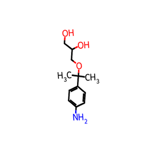 CC(C)(OCC(O)CO)c1ccc(N)cc1